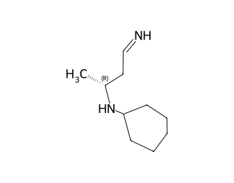 C[C@H](CC=N)NC1CCCCC1